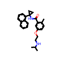 Cc1ccc(OCCNC(C)C)cc1C(=O)NC1(c2cccc3ccccc23)CC1